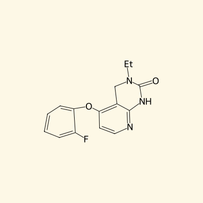 CCN1Cc2c(Oc3ccccc3F)ccnc2NC1=O